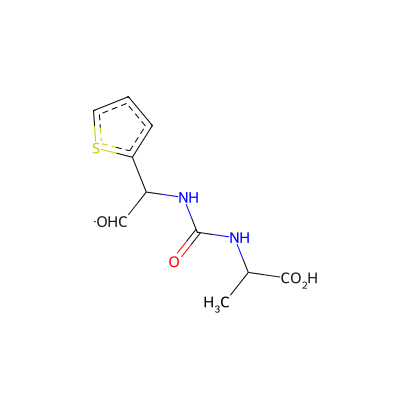 CC(NC(=O)NC([C]=O)c1cccs1)C(=O)O